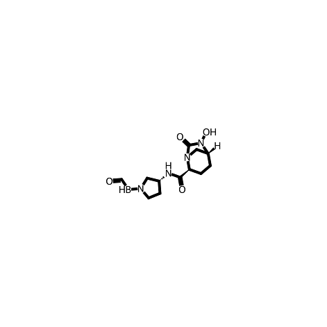 O=CBN1CC[C@@H](NC(=O)[C@@H]2CC[C@@H]3CN2C(=O)N3O)C1